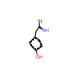 CCC(=N)Cc1ccc(O)cc1